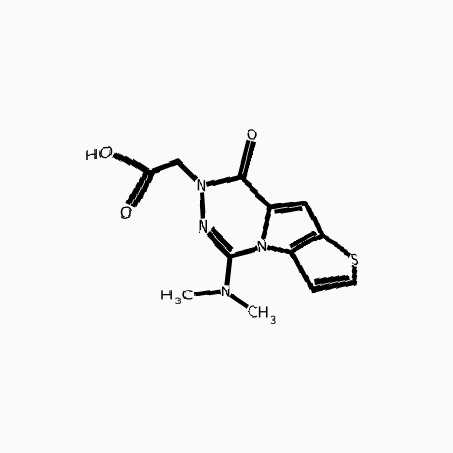 CN(C)c1nn(CC(=O)O)c(=O)c2cc3sccc3n12